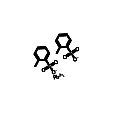 Cc1ccccc1S(=O)(=O)[O-].Cc1ccccc1S(=O)(=O)[O-].[Pb+2]